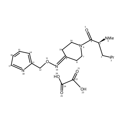 CN[C@@H](CC(C)C)C(=O)N1CCC(=NOCc2ccccn2)CC1.O=C(O)C(=O)O